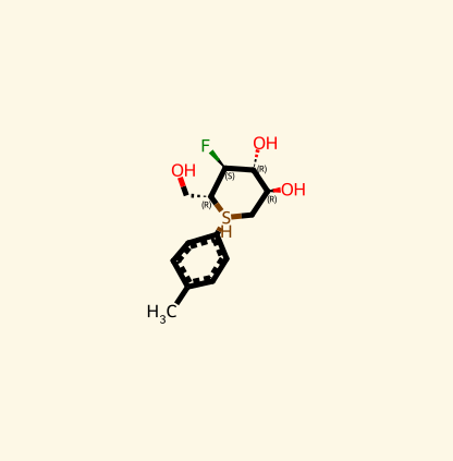 Cc1ccc([SH]2C[C@H](O)[C@@H](O)[C@H](F)[C@H]2CO)cc1